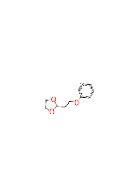 [c]1cccc(OCCC2OCCO2)c1